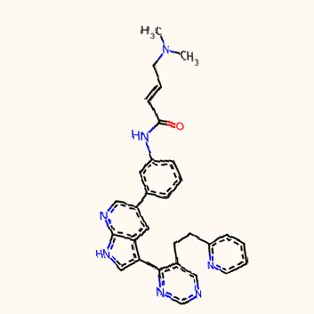 CN(C)CC=CC(=O)Nc1cccc(-c2cnc3[nH]cc(-c4ncncc4CCc4ccccn4)c3c2)c1